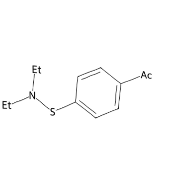 CCN(CC)Sc1ccc(C(C)=O)cc1